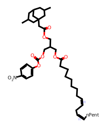 CCCCC/C=C\C/C=C\CCCCCCCC(=O)OCC(COC(=O)CC12CC(C)CC(CC(C)C1)C2)COC(=O)Oc1ccc([N+](=O)[O-])cc1